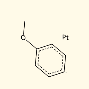 COc1cc[c]cc1.[Pt]